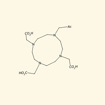 CC(=O)CN1CCN(CC(=O)O)CCN(CC(=O)O)CCN(CC(=O)O)CC1